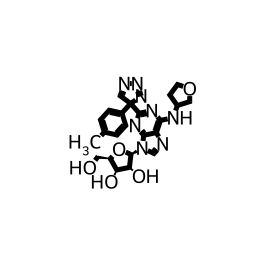 Cc1ccc(C2(c3nc(NC4CCOC4)c4ncn([C@@H]5O[C@H](CO)[C@@H](O)[C@H]5O)c4n3)C=NN=N2)cc1